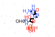 Nc1nc2c(ncn2[C@@H]2O[C@H](COP(=O)(O)O)[C@@H](CNC=O)[C@H]2O)c(=O)[nH]1